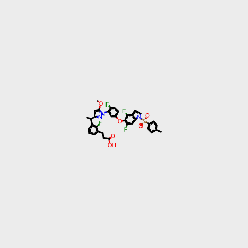 COc1cc(C(C)c2cccc(CCC(=O)O)c2F)nn1-c1cc(Oc2c(F)cc3c(ccn3S(=O)(=O)c3ccc(C)cc3)c2F)ccc1F